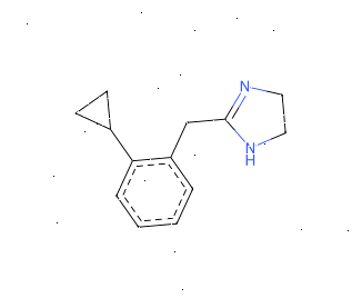 c1ccc(C2CC2)c(CC2=NCCN2)c1